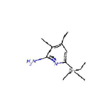 Cc1c[c]([Sn]([CH3])([CH3])[CH3])nc(N)c1C